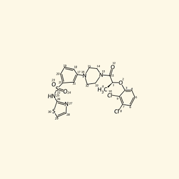 C[C@H](Oc1cccc(Cl)c1Cl)C(=O)N1CCN(c2cccc(S(=O)(=O)Nc3nccs3)c2)CC1